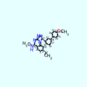 C=Cc1ccc2c(NC)nc3nnc(-c4cccc(-c5ccc(OC)cc5)c4)n3c2c1